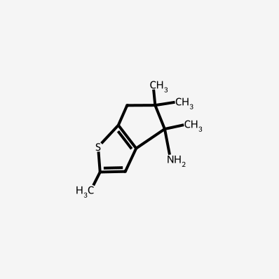 Cc1cc2c(s1)CC(C)(C)C2(C)N